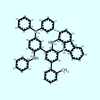 Cc1ccccc1-c1cc(-c2cc(N(c3ccccc3)c3ccccc3)ccc2Nc2ccccc2)c2c(c1)-n1c3ccccc3c3cccc(c31)B2